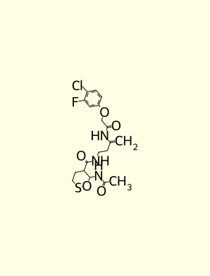 C=C(CCNC(=O)C1CCSOC1NC(C)=O)NC(=O)COc1ccc(Cl)c(F)c1